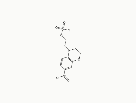 O=[N+]([O-])c1ccc2c(c1)OCCN2CCO[S](=O)(=O)[Y]